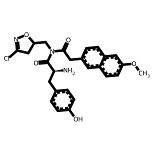 COc1ccc2cc(CC(=O)N(CC3CC(Cl)=NO3)C(=O)[C@@H](N)Cc3ccc(O)cc3)ccc2c1